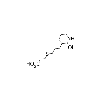 O=C(O)CCSCCCC1CCCNC1O